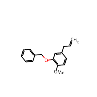 C=CCc1ccc(OC)c(OCc2ccccc2)c1